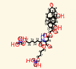 C[C@]12CCC(=O)C=C1CC[C@@H]1[C@@H]2[C@@H](O)C[C@@]2(C)[C@H]1CC[C@]2(O)C(=O)COC(=O)CC(NC(=O)CCCCCON(O)O)C(=O)OCCCCON(O)O